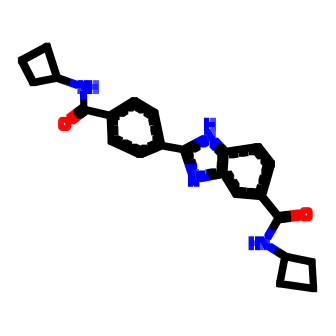 O=C(NC1CCC1)c1ccc(-c2nc3cc(C(=O)NC4CCC4)ccc3[nH]2)cc1